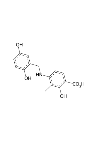 Cc1c(NCc2cc(O)ccc2O)ccc(C(=O)O)c1O